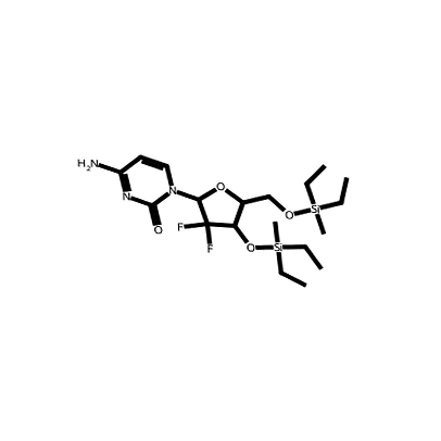 CC[Si](C)(CC)OCC1OC(n2ccc(N)nc2=O)C(F)(F)C1O[Si](C)(CC)CC